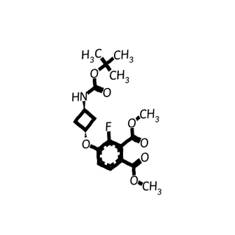 COC(=O)c1ccc(O[C@H]2C[C@H](NC(=O)OC(C)(C)C)C2)c(F)c1C(=O)OC